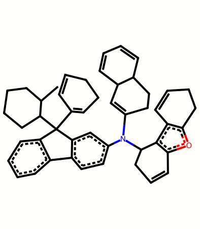 CC1CCCCC1C1(C2=CCCC=C2)c2ccccc2-c2ccc(N(C3=CC4C=CC=CC4CC3)C3CC=Cc4oc5c(c43)C=CCC5)cc21